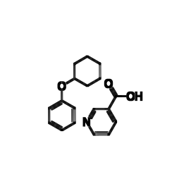 O=C(O)c1cccnc1.c1ccc(OC2CCCCC2)cc1